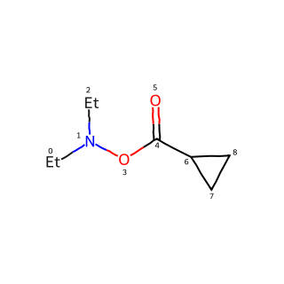 CCN(CC)OC(=O)C1CC1